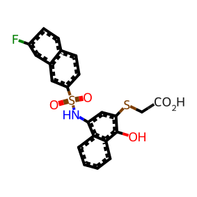 O=C(O)CSc1cc(NS(=O)(=O)c2ccc3ccc(F)cc3c2)c2ccccc2c1O